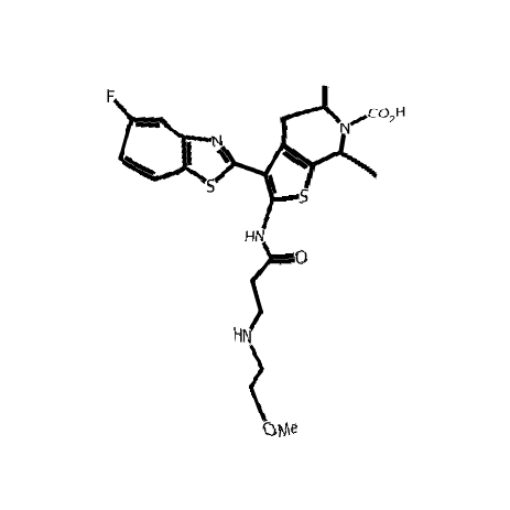 COCCNCCC(=O)Nc1sc2c(c1-c1nc3cc(F)ccc3s1)CC(C)N(C(=O)O)C2C